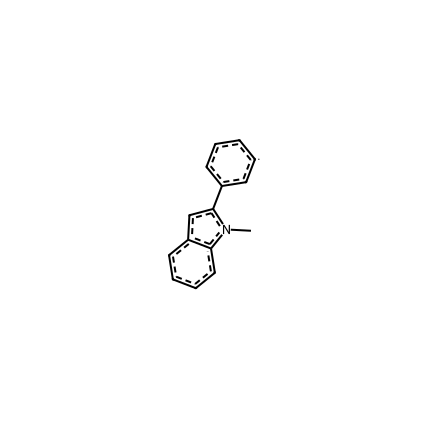 Cn1c(-c2c[c]ccc2)cc2ccccc21